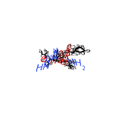 CCC(CC)C(=O)N/C(=N/C=N)c1ccc([C@]2(C#N)O[C@H](COC(=O)CC3CCCC3)[C@@H](OC(=O)[C@H](N)C(C)(C)C)[C@H]2O)[nH]1